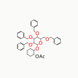 CC(=O)O[C@@H]1CCCC[C@H]1OC1OC(COCc2ccccc2)C(OCc2ccccc2)C(OCc2ccccc2)C1OCc1ccccc1